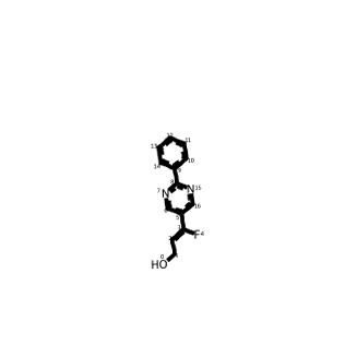 OC/C=C(\F)c1cnc(-c2ccccc2)nc1